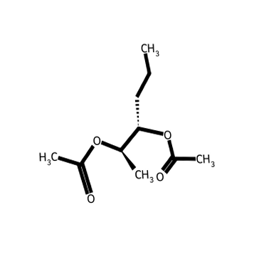 CCC[C@H](OC(C)=O)[C@@H](C)OC(C)=O